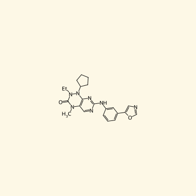 CCN1C(=O)N(C)c2cnc(Nc3cccc(-c4cnco4)c3)nc2N1C1CCCC1